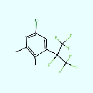 Cc1[c]c(Cl)cc(C(F)(C(F)(F)F)C(F)(F)F)c1C